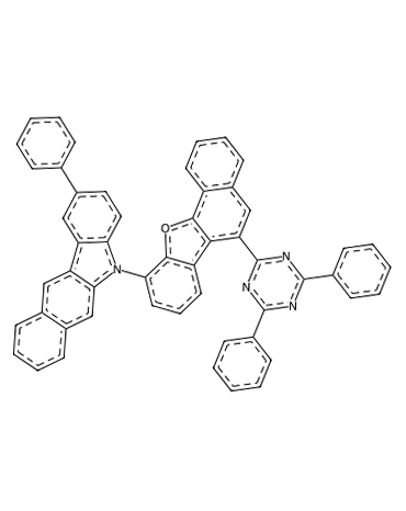 c1ccc(-c2ccc3c(c2)c2cc4ccccc4cc2n3-c2cccc3c2oc2c4ccccc4cc(-c4nc(-c5ccccc5)nc(-c5ccccc5)n4)c32)cc1